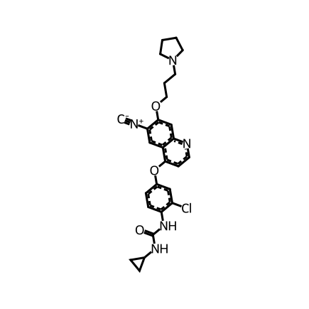 [C-]#[N+]c1cc2c(Oc3ccc(NC(=O)NC4CC4)c(Cl)c3)ccnc2cc1OCCCN1CCCC1